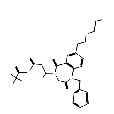 CC(CC(=O)OC(=O)C(F)(F)F)N1CC(=O)N(Cc2ccccc2)c2ccc(CCSCCN)cc2C1=O